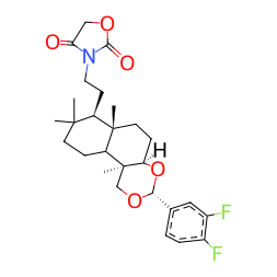 CC1(C)CCC2[C@]3(C)CO[C@@H](c4ccc(F)c(F)c4)O[C@@H]3CC[C@@]2(C)[C@@H]1CCN1C(=O)COC1=O